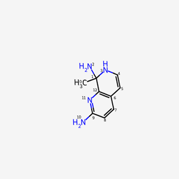 CC1(N)NC=Cc2ccc(N)nc21